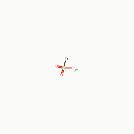 CCS(=O)(=O)[O-].[Br+]